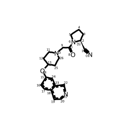 N#C[C@@H]1CCCN1C(=O)CN1CCC(Oc2ccc3ccncc3c2)CC1